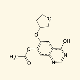 CC(=O)Oc1cc2ncnc(O)c2cc1OC1CCOC1